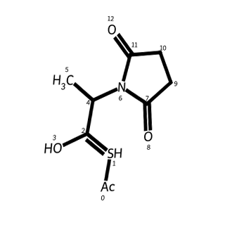 CC(=O)[SH]=C(O)C(C)N1C(=O)CCC1=O